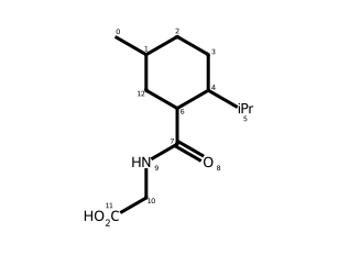 CC1CCC(C(C)C)C(C(=O)NCC(=O)O)C1